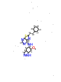 COc1cc2[nH]ncc2cc1Nc1ncnc2sc(CCc3ccccc3)nc12